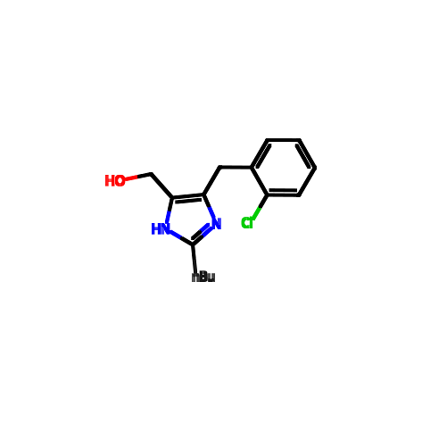 CCCCc1nc(Cc2ccccc2Cl)c(CO)[nH]1